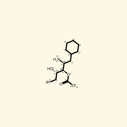 CC(C)C[C@H](O)[C@H](OC(=O)C(F)(F)F)[C@@H](N)CC1CCCCC1